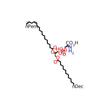 CCCCC/C=C\C/C=C\CCCCCCCCCCCC(=O)O[C@H](COC(=O)CCCCCCCCCCCCCCCCCCCCC)COP(=O)(O)OC[C@H](N)C(=O)O